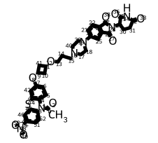 CC(=O)N1c2ccc(O[C@H]3C[C@H](OCCCN4CCN(c5ccc6c(c5)C(=O)N(C5CCC(=O)NC5=O)C6=O)CC4)C3)cc2Sc2cc([N+](=O)[O-])ccc21